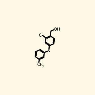 OCc1ccc(Sc2cccc(C(F)(F)F)c2)cc1Cl